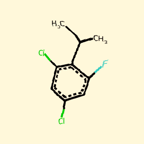 CC(C)c1c(F)cc(Cl)cc1Cl